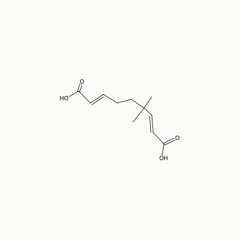 CC(C)(C=CC(=O)O)CCC=CC(=O)O